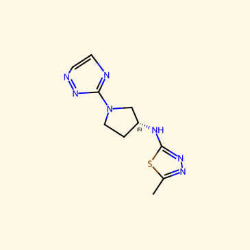 Cc1nnc(N[C@@H]2CCN(c3nccnn3)C2)s1